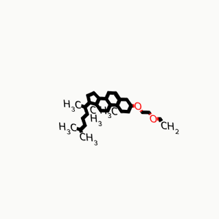 C=COCCOC1CCC2(C)C(=CCC3C2CCC2(C)C(C(C)CCCC(C)C)CCC32)C1